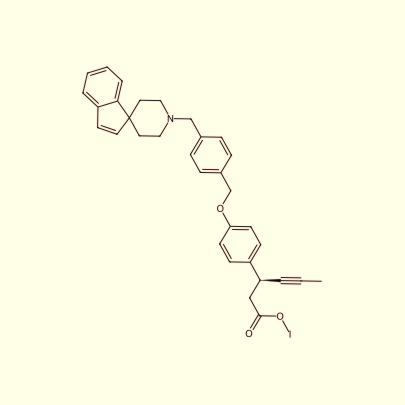 CC#C[C@@H](CC(=O)OI)c1ccc(OCc2ccc(CN3CCC4(C=Cc5ccccc54)CC3)cc2)cc1